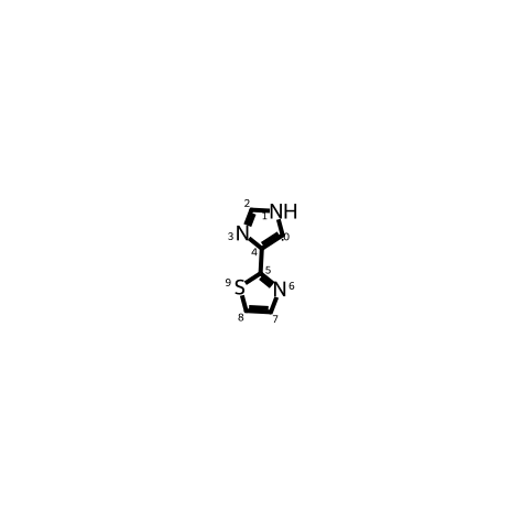 [c]1[nH]cnc1-c1nccs1